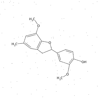 COc1cc(C2Cc3cc(C)cc(OC)c3O2)ccc1O